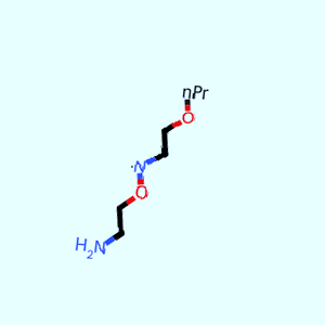 CCCOCC[N]OCCN